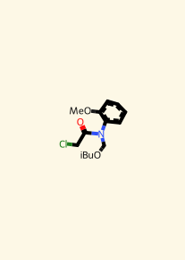 COc1ccccc1N(COCC(C)C)C(=O)CCl